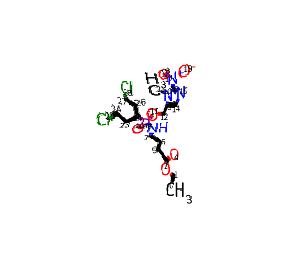 CCOC(=O)CCCNP(=O)(OCc1cnc([N+](=O)[O-])n1C)C(CCCl)CCCl